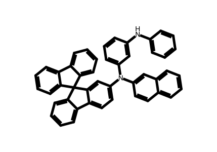 c1ccc(Nc2cccc(N(c3ccc4c(c3)C3(c5ccccc5-c5ccccc53)c3ccccc3-4)c3ccc4ccccc4c3)c2)cc1